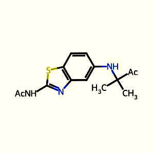 CC(=O)Nc1nc2cc(NC(C)(C)C(C)=O)ccc2s1